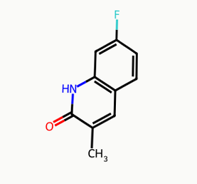 Cc1cc2ccc(F)cc2[nH]c1=O